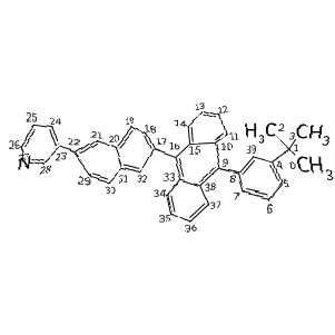 CC(C)(C)c1cccc(-c2c3ccccc3c(-c3ccc4cc(-c5cccnc5)ccc4c3)c3ccccc23)c1